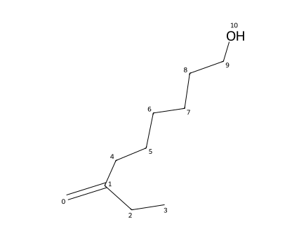 C=C(CC)CCCCCCO